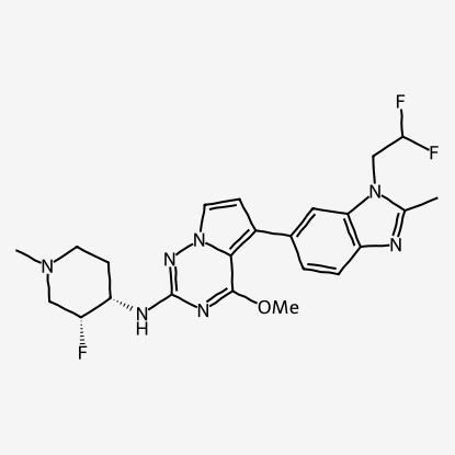 COc1nc(N[C@H]2CCN(C)C[C@H]2F)nn2ccc(-c3ccc4nc(C)n(CC(F)F)c4c3)c12